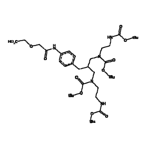 CC(C)(C)OC(=O)NCCN(CC(Cc1ccc(NC(=O)COCC(=O)O)cc1)CN(CCNC(=O)OC(C)(C)C)C(=O)OC(C)(C)C)C(=O)OC(C)(C)C